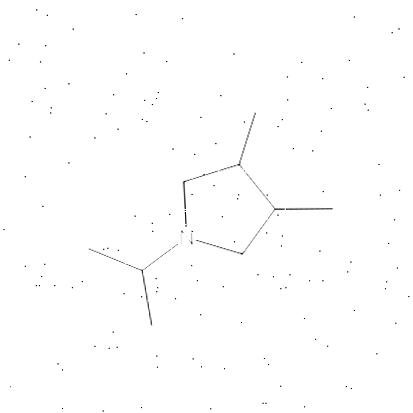 CC1CN(C(C)C)CC1C